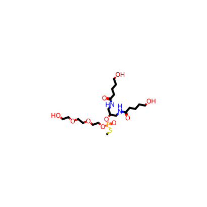 CSP(=O)(OCCOCCOCCO)OC(CNC(=O)CCCCO)CNC(=O)CCCCO